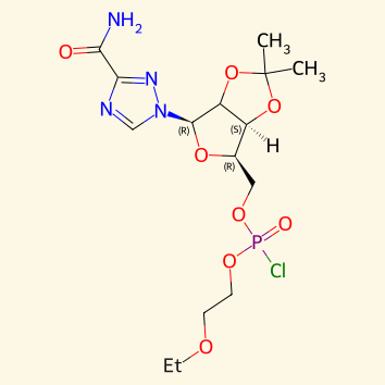 CCOCCOP(=O)(Cl)OC[C@H]1O[C@@H](n2cnc(C(N)=O)n2)C2OC(C)(C)O[C@H]21